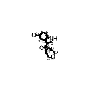 O=C(c1c[nH]c2ccc(Cl)cc12)N1C2CCC1COC2